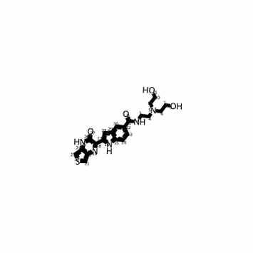 O=C(NCCN(CCO)CCO)c1ccc2[nH]c(-c3nc4cscc4[nH]c3=O)cc2c1